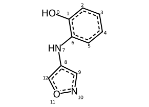 Oc1ccccc1Nc1cnoc1